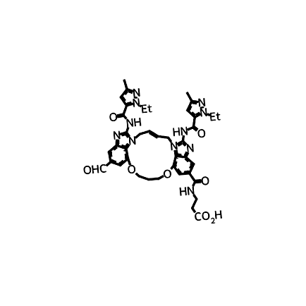 CCn1nc(C)cc1C(=O)Nc1nc2cc(C=O)cc3c2n1C/C=C/Cn1c(NC(=O)c2cc(C)nn2CC)nc2cc(C(=O)NCCC(=O)O)cc(c21)OCCCO3